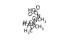 CC(=Nc1cc(-c2ccccc2)c(O)c(-c2ccccc2)c1)c1cccc(C(C)=Nc2c(C)cc(C)cc2C)n1